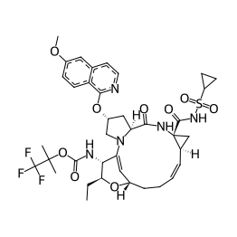 CC[C@@H]1O[C@@H]2C=C([C@H]1NC(=O)OC(C)(C)C(F)(F)F)N1C[C@H](Oc3nccc4cc(OC)ccc34)C[C@H]1C(=O)N[C@]1(C(=O)NS(=O)(=O)C3CC3)C[C@H]1/C=C\CC2